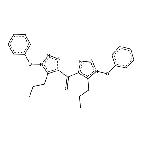 CCCc1c(C(=O)c2nnn(Oc3ccccc3)c2CCC)nnn1Oc1ccccc1